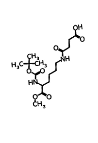 COC(=O)C(CCCCNC(=O)CCC(=O)O)NC(=O)OC(C)(C)C